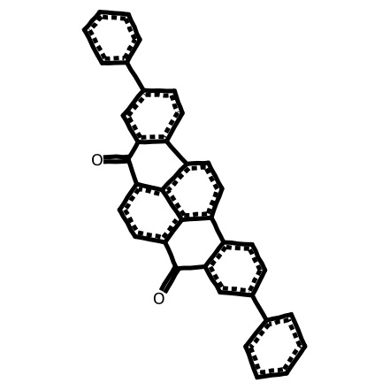 O=C1c2cc(-c3ccccc3)ccc2-c2ccc3c4c(ccc1c24)C(=O)c1cc(-c2ccccc2)ccc1-3